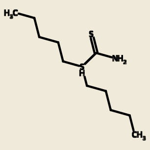 CCCCC[SH](CCCCC)C(N)=S